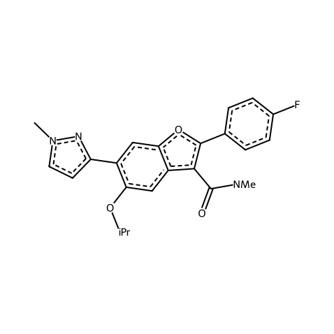 CNC(=O)c1c(-c2ccc(F)cc2)oc2cc(-c3ccn(C)n3)c(OC(C)C)cc12